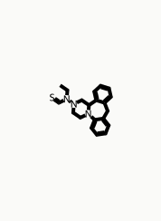 CCN(C=S)N1CCN2c3ccccc3Cc3ccccc3C2C1